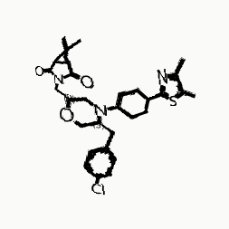 Cc1nc(C2CCC(N3C[C@H](CN4C(=O)C5C(C4=O)C5(C)C)OC[C@@H]3Cc3ccc(Cl)cc3)CC2)sc1C